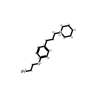 CC(C)CCSc1ccc(CCCN2CCCCC2)cc1